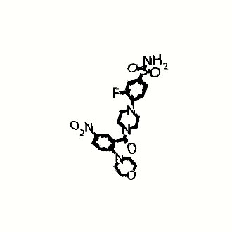 NS(=O)(=O)c1ccc(N2CCN(C(=O)c3cc([N+](=O)[O-])ccc3N3CCOCC3)CC2)c(F)c1